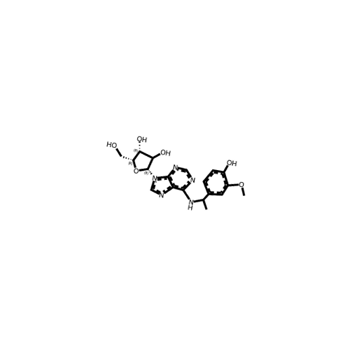 COc1cc(C(C)Nc2ncnc3c2ncn3[C@@H]2O[C@H](CO)[C@H](O)C2O)ccc1O